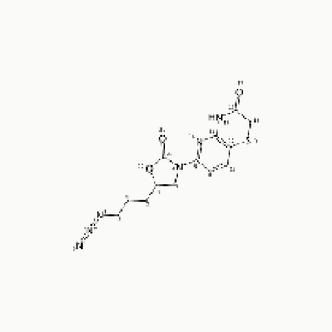 [N-]=[N+]=NCCCC1CN(c2ccc3c(n2)NC(=O)CS3)C(=O)O1